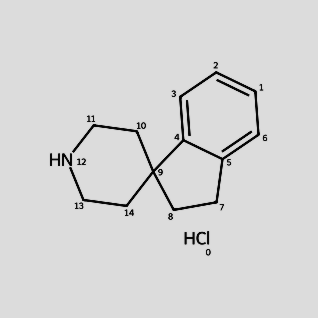 Cl.c1ccc2c(c1)CCC21CCNCC1